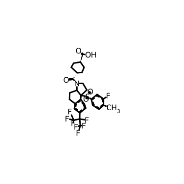 Cc1ccc(S(=O)(=O)C23CCN(C(=O)[C@H]4CC[C@H](C(=O)O)CC4)C2CCc2cc(C(F)(C(F)(F)F)C(F)(F)F)ccc23)cc1F